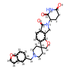 O=C1CCC(N2Cc3c(ccc4c3OCC43CCN(Cc4ccc5occc5c4)CC3)C2=O)C(=O)N1